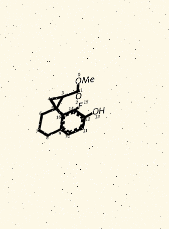 COC(=O)C1CC12CCCc1ccc(O)c(F)c12